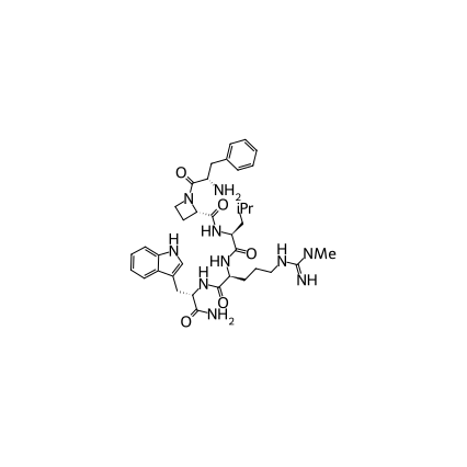 CNC(=N)NCCC[C@H](NC(=O)[C@H](CC(C)C)NC(=O)[C@@H]1CCN1C(=O)[C@@H](N)Cc1ccccc1)C(=O)N[C@@H](Cc1c[nH]c2ccccc12)C(N)=O